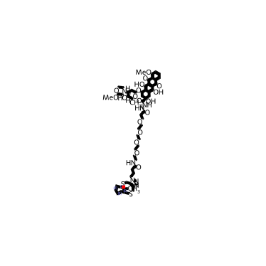 COc1cccc2c1C(=O)c1c(O)c3c(c(O)c1C2=O)C[C@@](O)(C(=O)NNC(=O)CCOCCOCCOCCOCCNC(=O)CCCn1nnc2c1CSC1=C\C(C)=C(/C=C/C=C\1)SC2)C[C@@H]3O[C@H]1C[C@H]2[C@H](O[C@@H]3[C@@H](OC)OCCN32)[C@H](C)O1